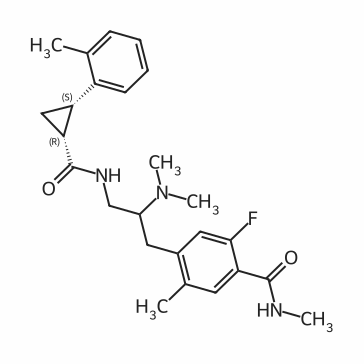 CNC(=O)c1cc(C)c(CC(CNC(=O)[C@@H]2C[C@@H]2c2ccccc2C)N(C)C)cc1F